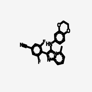 Cc1cccc2nc(-c3c(F)cc(C#N)cc3F)c(Nc3ccc4c(c3)OCCO4)n12